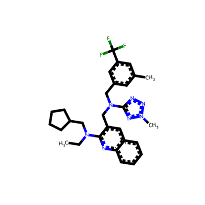 CCN(CC1CCCC1)c1nc2ccccc2cc1CN(Cc1cc(C)cc(C(F)(F)F)c1)c1nnn(C)n1